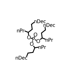 CCCCCCCCCCCCC(CCC)OP(=O)(OC(CCC)CCCCCCCCCCCC)OC(CCC)CCCCCCCCCCCC